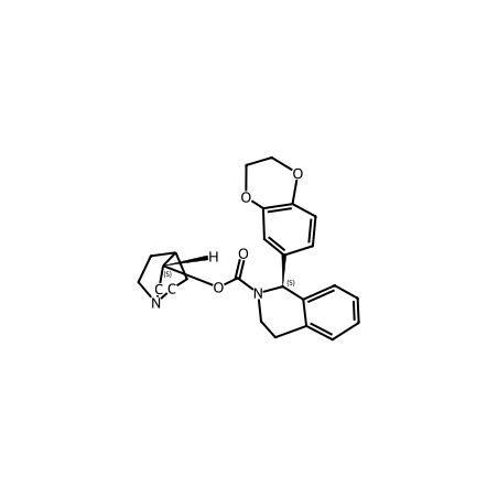 O=C(O[C@@H]1CN2CCC1CC2)N1CCc2ccccc2[C@@H]1c1ccc2c(c1)OCCO2